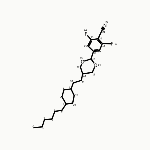 CCCCCCC1CCC(CCC2COC(c3cc(F)c(C#N)c(F)c3)OC2)CC1